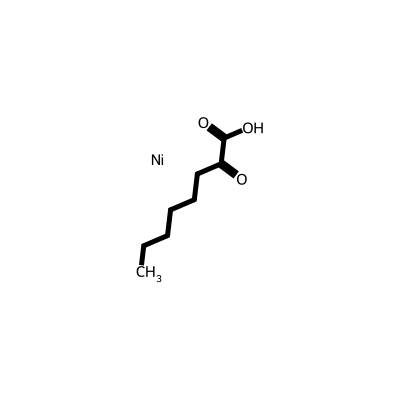 CCCCCCC(=O)C(=O)O.[Ni]